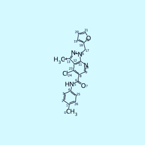 Cc1ccc(NC(=O)c2cnc3c(c(C)nn3Cc3ccco3)c2Cl)cc1